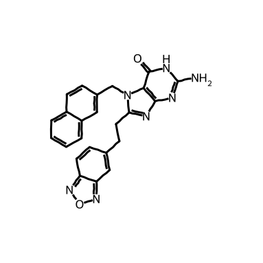 Nc1nc2nc(CCc3ccc4nonc4c3)n(Cc3ccc4ccccc4c3)c2c(=O)[nH]1